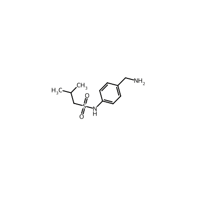 CC(C)CS(=O)(=O)Nc1ccc(CN)cc1